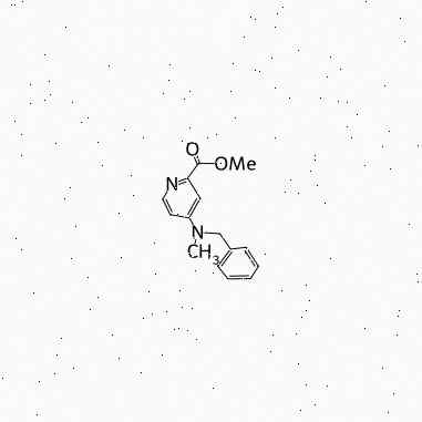 COC(=O)c1cc(N(C)Cc2ccccc2)ccn1